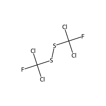 FC(Cl)(Cl)SSC(F)(Cl)Cl